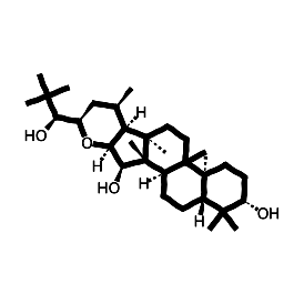 C[C@@H]1C[C@H]([C@@H](O)C(C)(C)C)O[C@H]2[C@@H]1[C@@]1(C)CCC34C[C@@]35CC[C@H](O)C(C)(C)[C@@H]5CC[C@H]4[C@]1(C)[C@H]2O